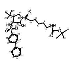 CC(C)(C)OC(=O)NCCCCCC(=O)N1CC(C(C)(C)C)C(NS(=O)(=O)c2ccc(-c3ccccc3)cc2)C1S